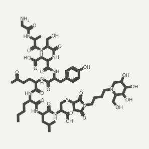 CCCCC(NC(=O)C(CCC(C)=O)NC(=O)C(Cc1ccc(O)cc1)NC(=O)C(CC(=O)O)NC(=O)C(CO)NC(=O)C(C)NC(=O)CN)C(=O)NC(CC(C)C)C(=O)NC(CSC1CC(=O)N(CCCCN2CC(O)C(O)C(O)C2CO)C1=O)C(=O)O